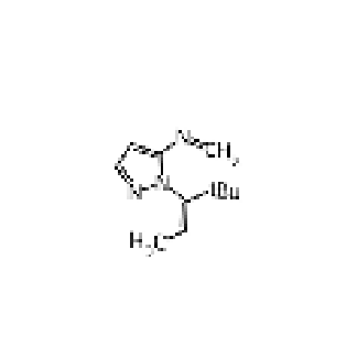 C=Nc1ccnn1/C(=C\C)C(C)(C)C